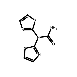 NC(=O)N(c1nccs1)c1nccs1